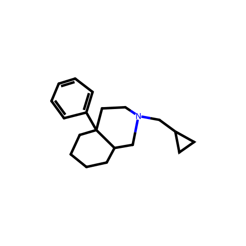 c1ccc(C23CCCCC2CN(CC2CC2)CC3)cc1